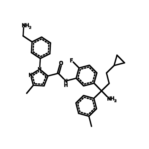 Cc1cccc(C(N)(CCC2CC2)c2ccc(F)c(NC(=O)c3cc(C)nn3-c3cccc(CN)c3)c2)c1